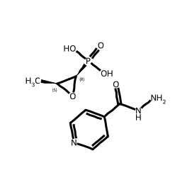 C[C@@H]1O[C@@H]1P(=O)(O)O.NNC(=O)c1ccncc1